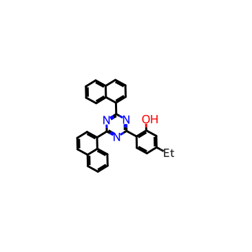 CCc1ccc(-c2nc(-c3cccc4ccccc34)nc(-c3cccc4ccccc34)n2)c(O)c1